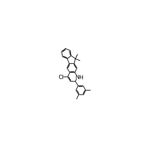 Cc1cc(C)cc(C2C=C(Cl)c3cc4c(cc3N2)C(C)(C)c2ccccc2-4)c1